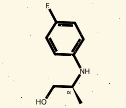 C[C@@H](CO)Nc1ccc(F)cc1